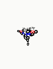 CC(C)c1ccc(N(c2cc(N(c3ccc(C(C)C)cc3)c3cccc4c3oc3ccccc34)c3ccc4cc(C5CCCCC5)cc5ccc2c3c54)c2cccc3c2oc2ccccc23)cc1